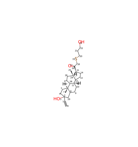 C#CC1(O)CC[C@@]2(C)C(CC[C@H]3[C@@H]4CC[C@H](C(=O)CSCCCO)[C@@]4(C)CC[C@@H]32)C1